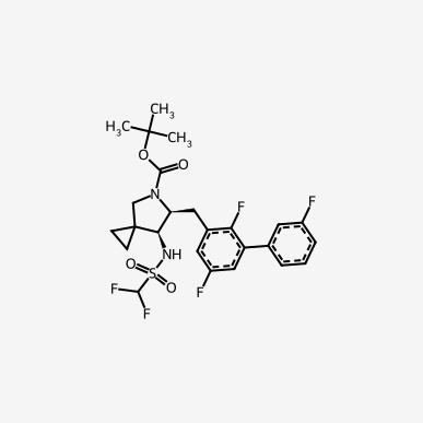 CC(C)(C)OC(=O)N1CC2(CC2)[C@H](NS(=O)(=O)C(F)F)[C@@H]1Cc1cc(F)cc(-c2cccc(F)c2)c1F